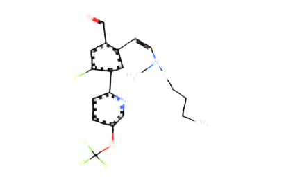 CCCCCN(C)/C=C\c1cc(-c2ccc(OC(F)(F)F)cn2)c(F)cc1C=O